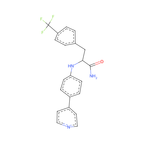 NC(=O)C(Cc1ccc(C(F)(F)F)cc1)Nc1ccc(-c2ccncc2)cc1